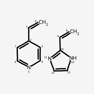 C=Cc1ccncc1.C=Cc1ncc[nH]1